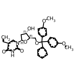 C=Cc1cn([C@H]2C[C@H](O)[C@@H](COC(c3ccccc3)(c3ccc(OC)cc3)c3ccc(OC)cc3)O2)c(=O)[nH]c1=O